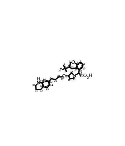 CC(C)(F)C1COc2cccc(C(C(=O)O)N3CC[C@@H](OCCCCc4ccc5c(n4)NCCC5)C3)c2C1